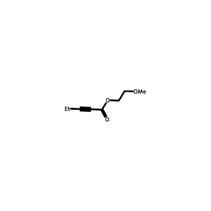 CCC#CC(=O)OCCOC